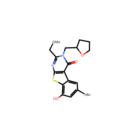 CCCCc1cc(O)c2sc3nc(COC)n(CC4CCCO4)c(=O)c3c2c1